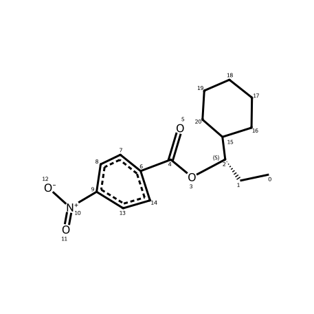 CC[C@H](OC(=O)c1ccc([N+](=O)[O-])cc1)C1CCCCC1